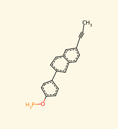 CC#Cc1ccc2cc(-c3ccc(OP)cc3)ccc2c1